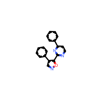 [c]1noc(-c2nccc(-c3ccccc3)n2)c1-c1ccccc1